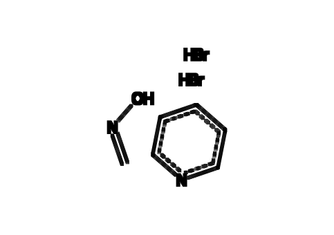 Br.Br.C=NO.c1ccncc1